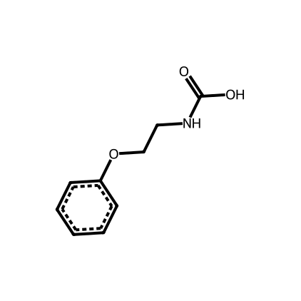 O=C(O)NCCOc1ccccc1